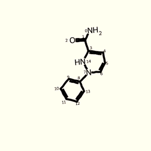 NC(=O)C1=CC=CN(c2ccccc2)N1